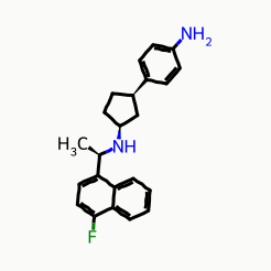 C[C@@H](N[C@H]1CC[C@@H](c2ccc(N)cc2)C1)c1ccc(F)c2ccccc12